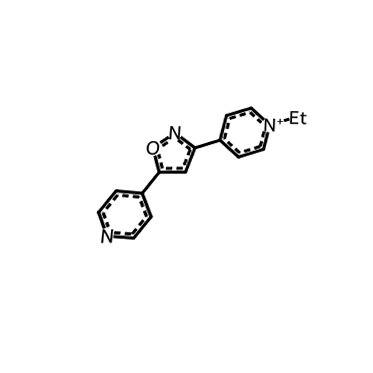 CC[n+]1ccc(-c2cc(-c3ccncc3)on2)cc1